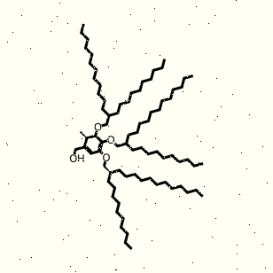 CCCCCCCCCCCCC(CCCCCCCCCC)COC1=C(OC[C@H](CCCCCCCCCC)CCCCCCCCCCCC)C=C(CO)[C@@H](C)C1OCC(CCCCCCCCCC)CCCCCCCCCCCC